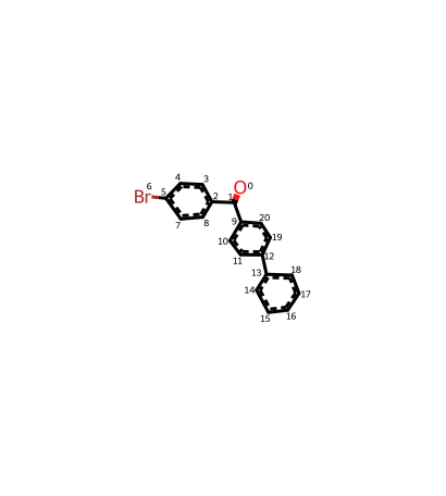 O=C(c1ccc(Br)cc1)c1ccc(-c2ccccc2)cc1